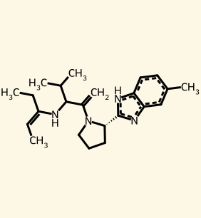 C=C(C(N/C(=C\C)CC)C(C)C)N1CCC[C@H]1c1nc2cc(C)ccc2[nH]1